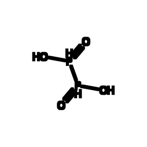 O=[PH](O)[PH](=O)O